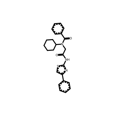 O=C(CN(C(=O)c1ccccc1)C1CCCCC1)Nc1nc(-c2ccccc2)cs1